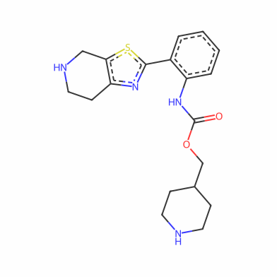 O=C(Nc1ccccc1-c1nc2c(s1)CNCC2)OCC1CCNCC1